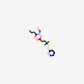 CCCC(=O)N(C=O)OC(=O)CCC(C)(C)SSc1ccccn1